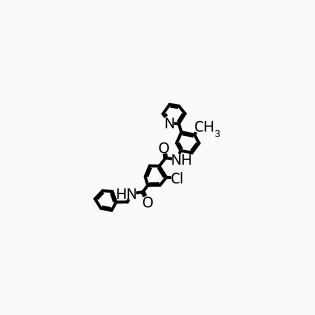 Cc1ccc(NC(=O)c2ccc(C(=O)NCc3ccccc3)cc2Cl)cc1-c1ccccn1